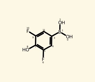 OB(O)c1cc(F)c(O)c(F)c1